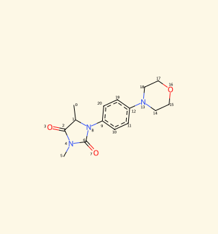 CC1C(=O)N(C)C(=O)N1c1ccc(N2CCOCC2)cc1